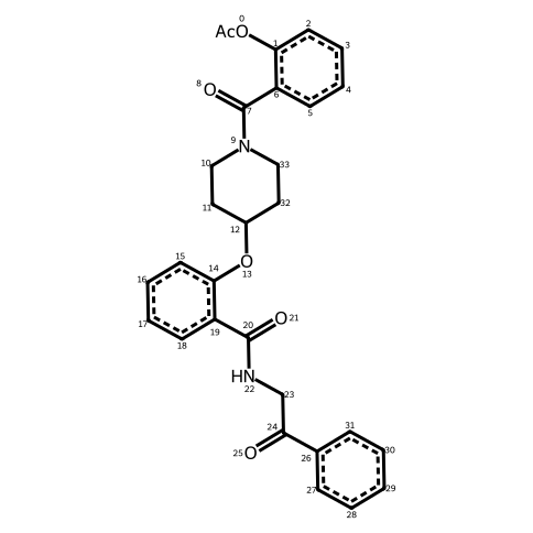 CC(=O)Oc1ccccc1C(=O)N1CCC(Oc2ccccc2C(=O)NCC(=O)c2ccccc2)CC1